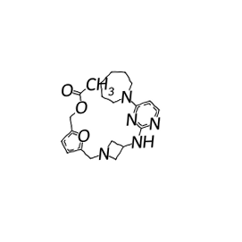 CC(=O)OCc1ccc(CN2CC(Nc3nccc(N4CCCCCC4)n3)C2)o1